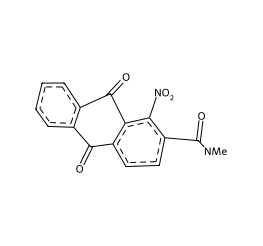 CNC(=O)c1ccc2c(c1[N+](=O)[O-])C(=O)c1ccccc1C2=O